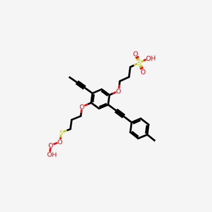 CC#Cc1cc(OCCCS(=O)(=O)O)c(C#Cc2ccc(C)cc2)cc1OCCCSOOO